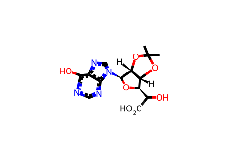 CC1(C)O[C@@H]2[C@H](O1)[C@@H](C(O)C(=O)O)O[C@H]2n1cnc2c(O)ncnc21